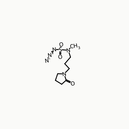 CN(CCCN1CCCC1=O)S(=O)(=O)N=[N+]=[N-]